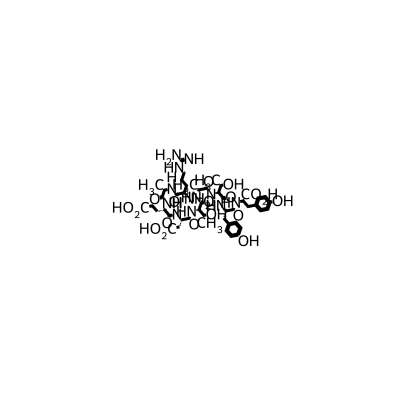 C[C@H](NC(=O)[C@@H](NC(=O)[C@H](CC(=O)O)NC(=O)[C@H](CCC(=O)O)NC(=O)[C@H](C)NC(=O)[C@@H](N)CCCNC(=N)N)[C@@H](C)O)C(=O)N[C@H](C(=O)N[C@@H](Cc1ccc(O)cc1)C(=O)N[C@@H](Cc1ccc(O)cc1)C(=O)O)[C@@H](C)O